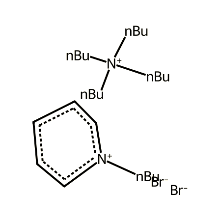 CCCC[N+](CCCC)(CCCC)CCCC.CCCC[n+]1ccccc1.[Br-].[Br-]